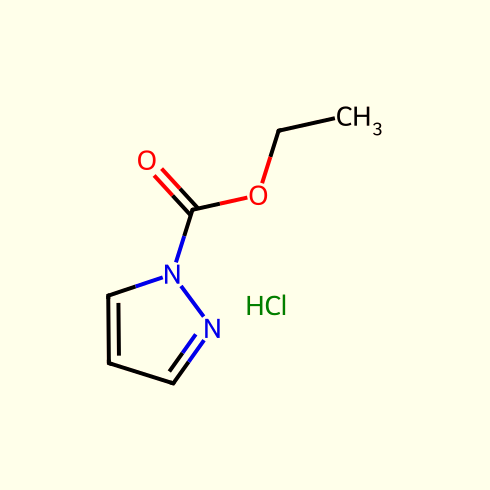 CCOC(=O)n1cccn1.Cl